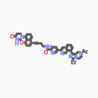 CCc1nc(-c2cccc3cc(-c4ccc(C(=O)NCCC#Cc5cccc6c(N7CCC(=O)NC7=O)cccc56)nc4)ncc23)c2n1CCN(C(C)=O)C2